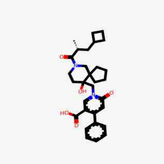 C[C@H](CC1CCC1)C(=O)N1CCC(O)(Cn2cc(C(=O)O)c(-c3ccccc3)cc2=O)C2(CCCC2)C1